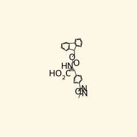 Cc1nnc(-c2ccc(C[C@H](NC(=O)OCC3c4ccccc4-c4ccccc43)C(=O)O)cc2)o1